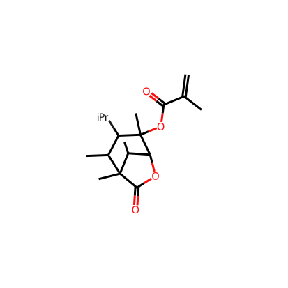 C=C(C)C(=O)OC1(C)C2OC(=O)C(C)(C2C)C(C)C1C(C)C